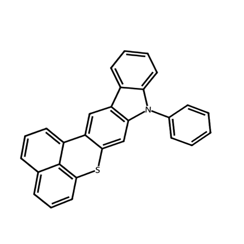 c1ccc(-n2c3ccccc3c3cc4c(cc32)Sc2cccc3cccc-4c23)cc1